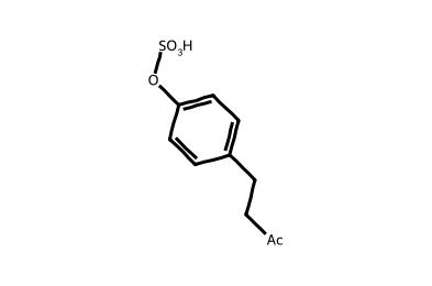 CC(=O)CCc1ccc(OS(=O)(=O)O)cc1